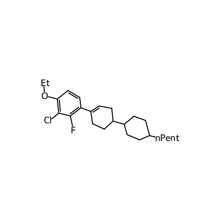 CCCCCC1CCC(C2CC=C(c3ccc(OCC)c(Cl)c3F)CC2)CC1